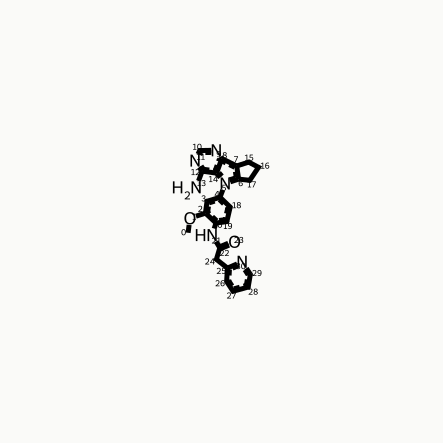 COc1cc(-n2c3c(c4ncnc(N)c42)CCC3)ccc1NC(=O)Cc1ccccn1